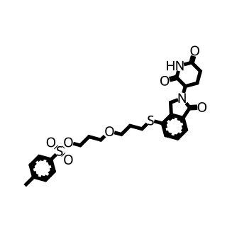 Cc1ccc(S(=O)(=O)OCCCOCCCSc2cccc3c2CN(C2CCC(=O)NC2=O)C3=O)cc1